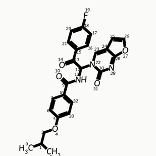 CC(C)COc1ccc(C(=O)NC(C(=O)c2ccc(F)cc2)n2cc3ccoc3nc2=O)cc1